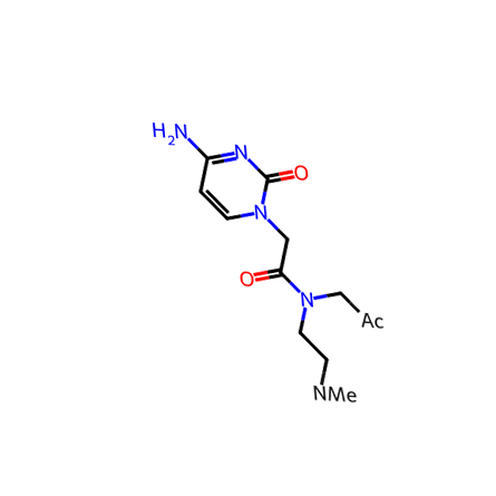 CNCCN(CC(C)=O)C(=O)Cn1ccc(N)nc1=O